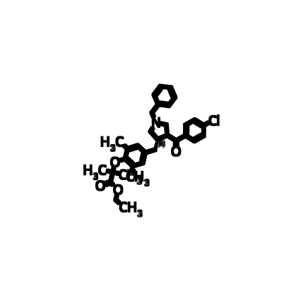 CCOC(=O)C(C)(C)Oc1c(C)cc(C[C@H]2CN(Cc3ccccc3)CC2C(=O)c2ccc(Cl)cc2)cc1C